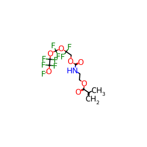 C=C(C)C(=O)OCCNC(=O)OCC(F)(F)OC(F)(F)OC(F)(F)C(F)(F)OF